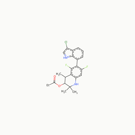 CCC(=O)OC1C(C)c2c(cc(F)c(-c3cccc4c(Cl)c[nH]c34)c2F)NC1(C)C